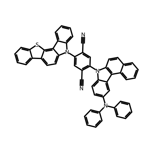 N#Cc1cc(-n2c3ccccc3c3c4sc5ccccc5c4ccc32)c(C#N)cc1-n1c2ccc(N(c3ccccc3)c3ccccc3)cc2c2c3ccccc3ccc21